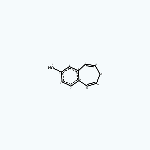 Oc1ccc2c(c1)C=CCC=C2